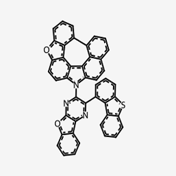 c1cc2c3c(c1)ccc1c3c3c4c(ccc3n1-c1nc3oc5ccccc5c3nc1-c1cccc3sc5ccccc5c13)oc1cccc-2c14